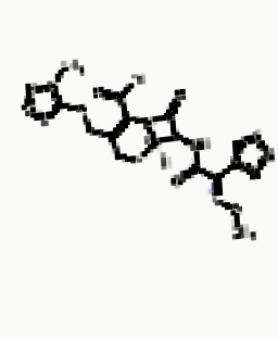 CO/N=C(/C(=O)NC1C(=O)N2C(C(=O)O)=C(CSc3nnnn3C)CS[C@H]12)c1csnn1